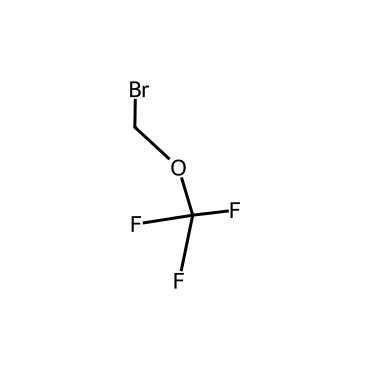 FC(F)(F)OCBr